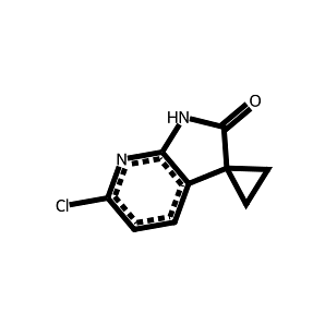 O=C1Nc2nc(Cl)ccc2C12CC2